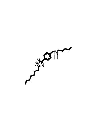 CCCCCCCc1nc(-c2ccc(CNCCCCC)cc2)no1